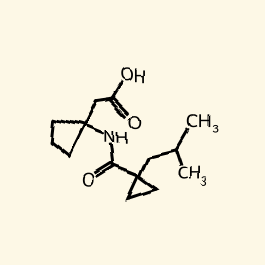 CC(C)CC1(C(=O)NC2(CC(=O)O)CCC2)CC1